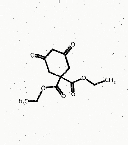 CCOC(=O)C1(C(=O)OCC)CC(=O)CC(=O)C1